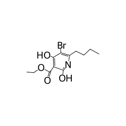 CCCCc1nc(O)c(C(=O)OCC)c(O)c1Br